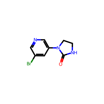 O=C1NCCN1c1cncc(Br)c1